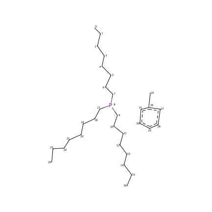 CCCCCCCCP(CCCCCCCC)CCCCCCCC.Cc1ccccc1